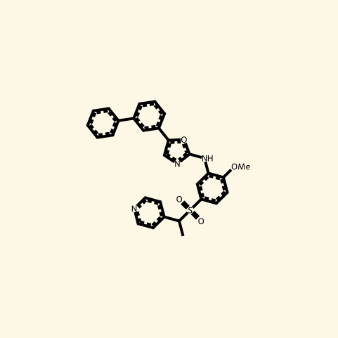 COc1ccc(S(=O)(=O)C(C)c2ccncc2)cc1Nc1ncc(-c2cccc(-c3ccccc3)c2)o1